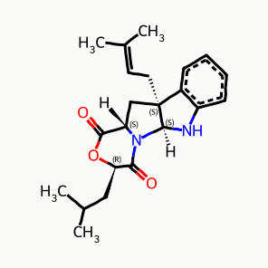 CC(C)=CC[C@@]12C[C@H]3C(=O)O[C@H](CC(C)C)C(=O)N3[C@@H]1Nc1ccccc12